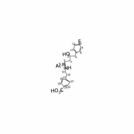 CC(=O)N(CCC(O)Cc1ccc(F)cc1)NCCc1ccc(C(=O)O)cc1